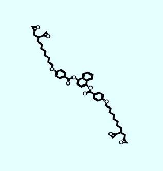 O=C(Oc1ccc(OC(=O)c2ccc(OCCCCCCCCC(CC3CO3)C3CO3)cc2)c2ccccc12)c1ccc(OCCCCCCCCC(CC2CO2)C2CO2)cc1